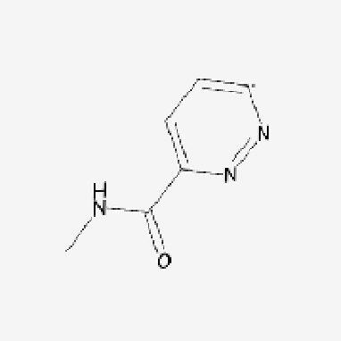 CNC(=O)c1cc[c]nn1